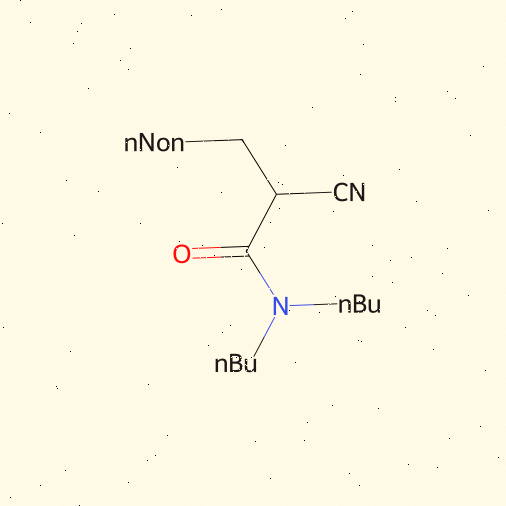 CCCCCCCCCCC(C#N)C(=O)N(CCCC)CCCC